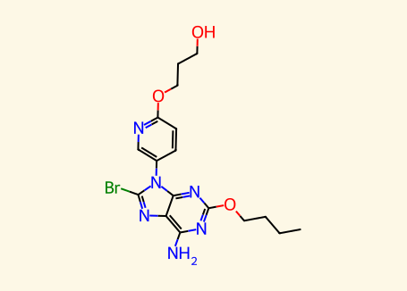 CCCCOc1nc(N)c2nc(Br)n(-c3ccc(OCCCO)nc3)c2n1